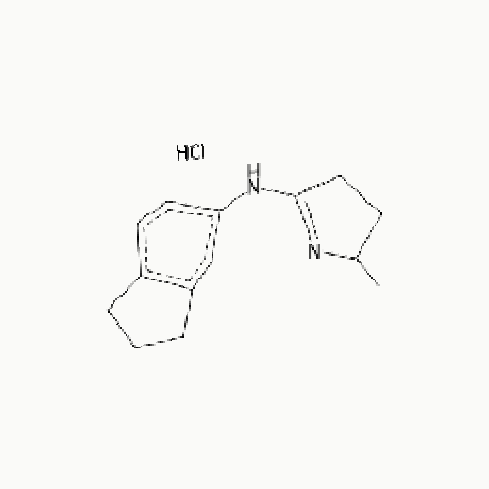 CC1CCC(Nc2ccc3c(c2)CCC3)=N1.Cl